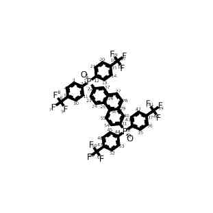 O=P(c1ccc(C(F)(F)F)cc1)(c1ccc(C(F)(F)F)cc1)c1ccc2c(ccc3cc(P(=O)(c4ccc(C(F)(F)F)cc4)c4ccc(C(F)(F)F)cc4)ccc32)c1